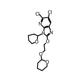 Clc1cc2nc(OCCOC3CCCCO3)n(C3CCCCO3)c2nc1Cl